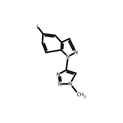 Cn1cc(-n2ncc3cc(I)ccc32)nn1